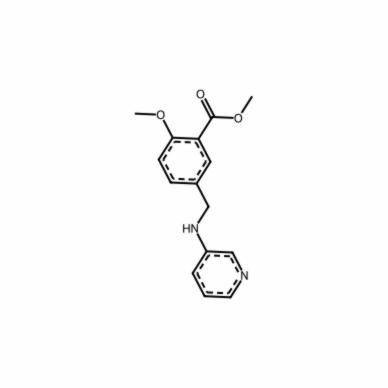 COC(=O)c1cc(CNc2cccnc2)ccc1OC